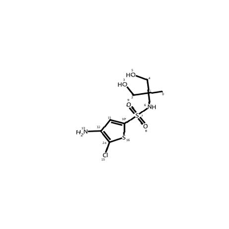 CC(CO)(CO)NS(=O)(=O)c1cc(N)c(Cl)s1